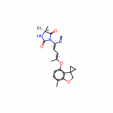 C=N/C(=C\C=C(/C)Oc1ccc(C)c2c1C1(CC1)CO2)N1C(=O)N[C@](C)(CC)C1=O